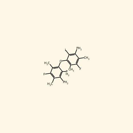 Cc1c(F)c(C)c(Oc2c(C)c(F)c(C)c(P)c2I)c(P)c1P